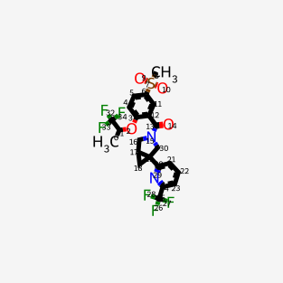 CC(Oc1ccc(S(C)(=O)=O)cc1C(=O)N1CC2CC2(c2cccc(C(F)(F)F)n2)C1)C(F)(F)F